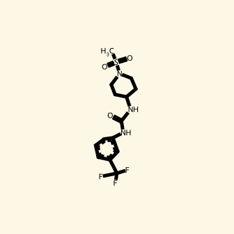 CS(=O)(=O)N1CCC(NC(=O)Nc2cccc(C(F)(F)F)c2)CC1